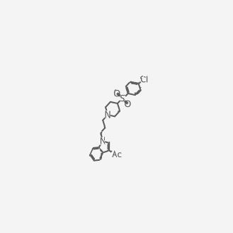 CC(=O)c1cn(CCCN2CCC(S(=O)(=O)c3ccc(Cl)cc3)CC2)c2ccccc12